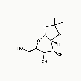 CC1(C)OC2O[C@H](CO)[C@@H](O)[C@H](O)[C@H]2O1